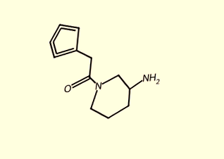 NC1CCCN(C(=O)CC2=C=C=C=C2)C1